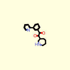 O=C(C(=O)C1[CH]CCCNC1)c1cccc(-c2ccccn2)c1